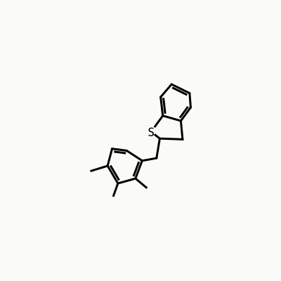 Cc1ccc(CC2Cc3ccccc3S2)c(C)c1C